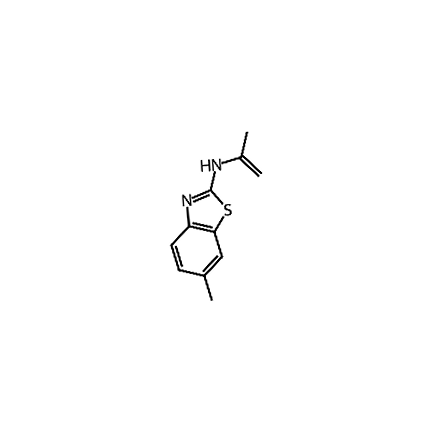 C=C(C)Nc1nc2ccc(C)cc2s1